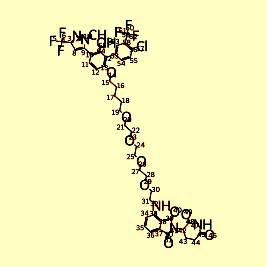 Cn1nc(C(F)(F)F)cc1-c1ccc(OCCCCCOCCOCCOCCOCCNc2cccc3c2C(=O)N(C2CCC(=O)NC2=O)C3=O)c(-c2ccc(Cl)c(C(F)(F)F)c2)c1O